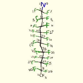 [N]C(F)(F)C(F)(F)C(F)(F)C(F)(F)C(F)(F)C(F)(F)C(F)(F)C(F)(F)C(F)(F)C(F)(F)C(F)(F)F